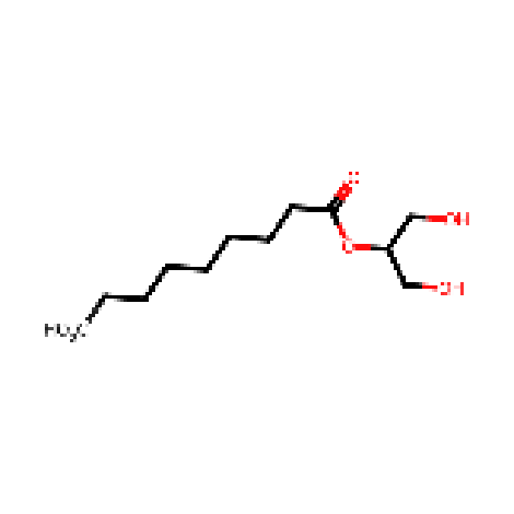 O=C(O)CCCCCCCC(=O)OC(CO)CO